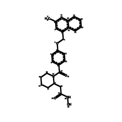 Cc1cc(COc2ccc(C(=O)N3CCSCC3CC(=O)NO)cc2)c2ccccc2n1